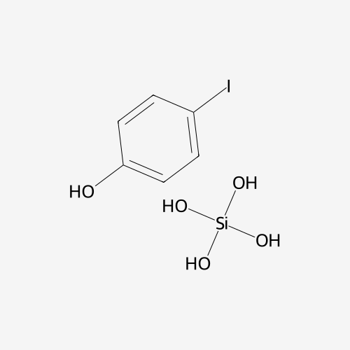 O[Si](O)(O)O.Oc1ccc(I)cc1